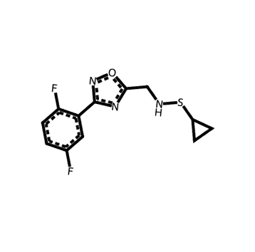 Fc1ccc(F)c(-c2noc(CNSC3CC3)n2)c1